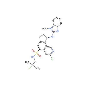 Cn1c(NC2CCc3cc(S(=O)(=O)NCC(C)(C)F)c4cc(Cl)ncc4c32)nc2ccccc21